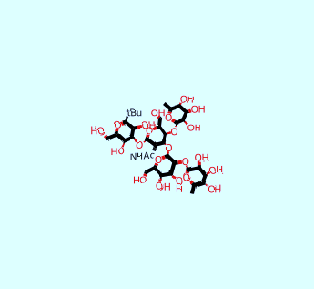 CC(=O)NC1[C@H](O[C@@H]2C(O)[C@H](C(C)(C)C)OC(CO)[C@@H]2O)OC(CO)[C@@H](O[C@@H]2OC(C)[C@@H](O)C(O)[C@H]2O)[C@@H]1O[C@@H]1OC(CO)[C@H](O)[C@H](O)C1O[C@@H]1OC(C)[C@@H](O)[C@H](O)C1O